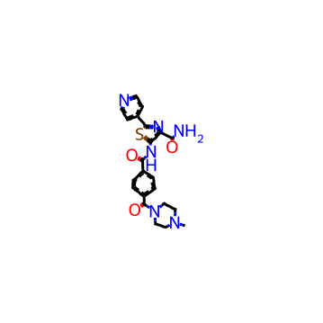 CN1CCN(C(=O)c2ccc(C(=O)Nc3sc(-c4ccncc4)nc3C(N)=O)cc2)CC1